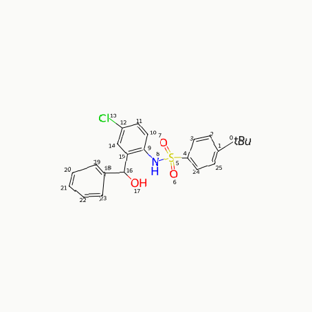 CC(C)(C)c1ccc(S(=O)(=O)Nc2ccc(Cl)cc2C(O)c2ccccc2)cc1